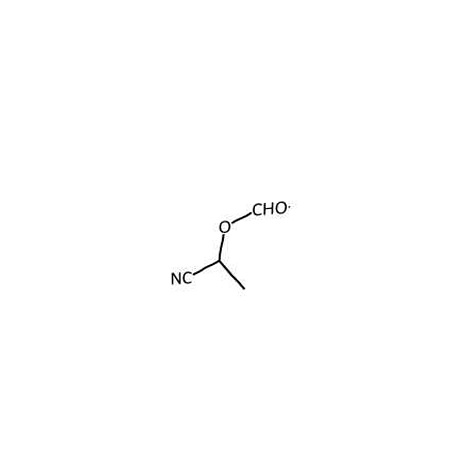 CC(C#N)O[C]=O